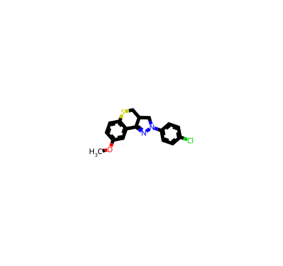 COc1ccc2c(c1)C1=NN(c3ccc(Cl)cc3)CC1CS2